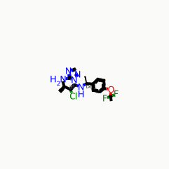 C=C(C)/C(Cl)=C(/N[C@@H](C)c1ccc(OC(C)(F)F)cc1)n1ncnc1N